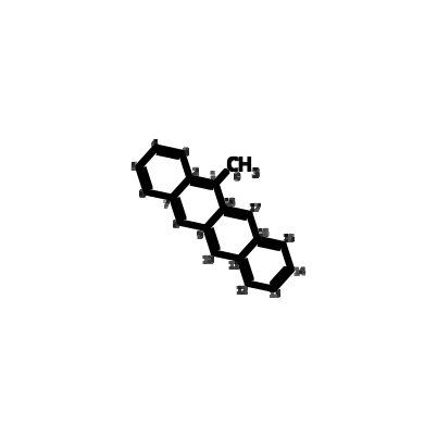 Cc1c2ccccc2cc2cc3ccccc3cc12